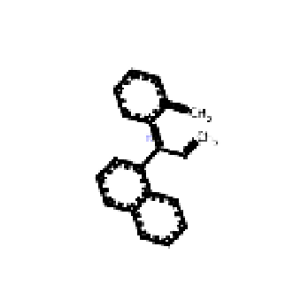 C=C/C(c1cccc2ccccc12)=c1/ccccc1=C